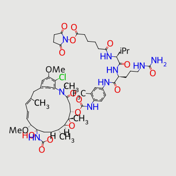 COc1cc2cc(c1Cl)N(C)C(=O)C[C@H](OC(=O)Nc1ccc(NC(=O)[C@H](CCCNC(N)=O)NC(=O)[C@@H](NC(=O)CCCCC(=O)ON3C(=O)CCC3=O)C(C)C)cc1C(F)(F)F)[C@]1(C)O[C@H]1[C@H](C)[C@@H]1C[C@@](O)(NC(=O)O1)[C@H](OC)/C=C/C=C(\C)C2